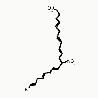 CCC=CCC=CCC=CC(CC=CC=CCC=CCCC(=O)O)[N+](=O)[O-]